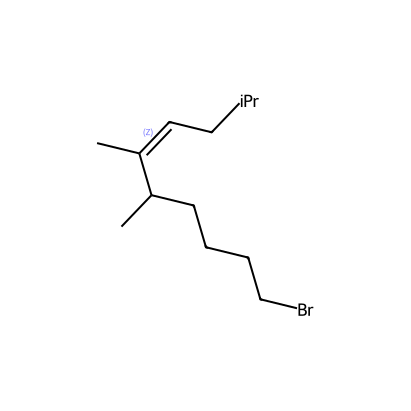 C/C(=C/CC(C)C)C(C)CCCCBr